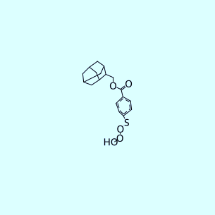 O=C(OCC1C2CC3CC(C2)CC1C3)c1ccc(SOOO)cc1